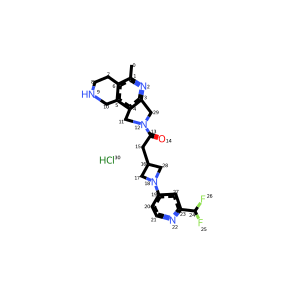 Cc1nc2c(c3c1CCNC3)CN(C(=O)CC1CN(c3ccnc(C(F)F)c3)C1)C2.Cl